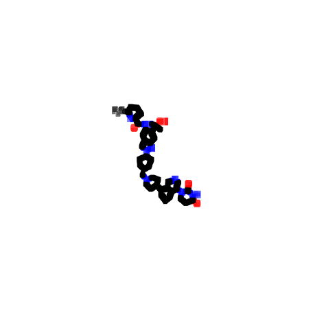 CC(C)(O)c1cc2nn([C@H]3CC[C@H](CN4CCC(c5cccc6c(N7CCC(=O)NC7=O)cncc56)CC4)CC3)cc2cc1NC(=O)c1cccc(C(F)(F)F)n1